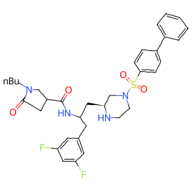 CCCCN1CC(C(=O)NC(Cc2cc(F)cc(F)c2)C[C@H]2CN(S(=O)(=O)c3ccc(-c4ccccc4)cc3)CCN2)CC1=O